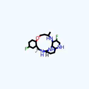 CC1CCOC2CCC(F)CC2[C@@H](C)N[C@H]2CCC3NCC(F)C(N1)C3N2